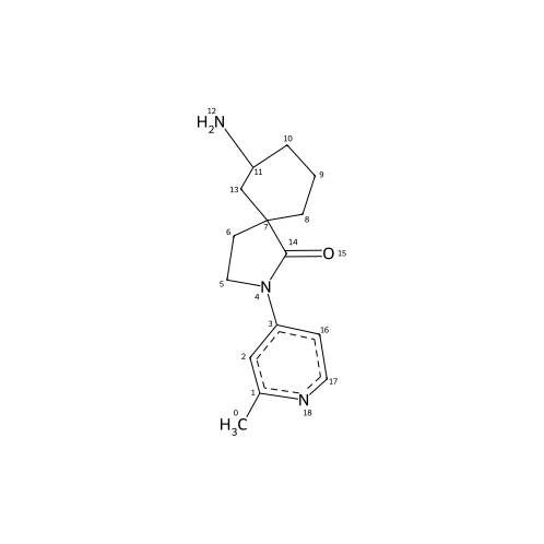 Cc1cc(N2CCC3(CCCC(N)C3)C2=O)ccn1